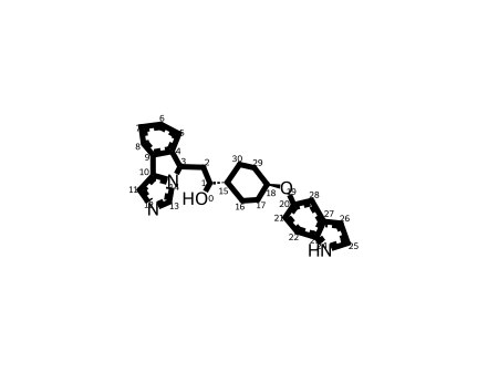 OC(CC1c2ccccc2-c2cncn21)[C@H]1CC[C@H](Oc2ccc3[nH]ccc3c2)CC1